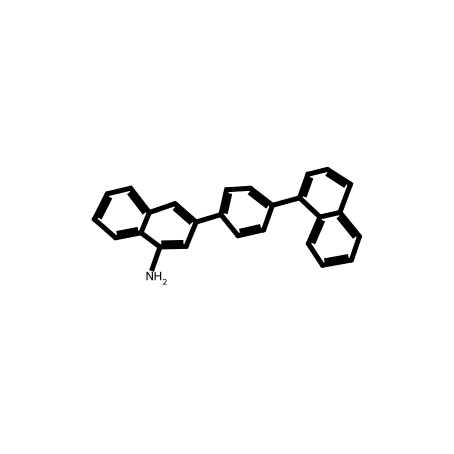 Nc1cc(-c2ccc(-c3cccc4ccccc34)cc2)cc2ccccc12